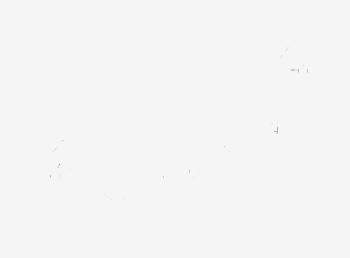 C=C(C)C(=O)OCCC[Si](C)(C)OCCOCCOCCOCCO[Si](C)(C)CCCOC(=O)C(=C)C